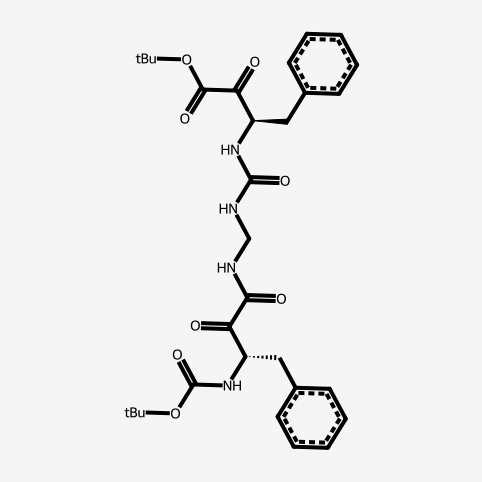 CC(C)(C)OC(=O)N[C@@H](Cc1ccccc1)C(=O)C(=O)NCNC(=O)N[C@H](Cc1ccccc1)C(=O)C(=O)OC(C)(C)C